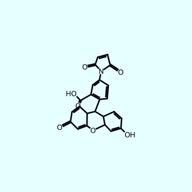 O=C1C=CC2C(=C1)OC1C=C(O)C=CC1C2c1ccc(N2C(=O)C=CC2=O)cc1C(=O)O